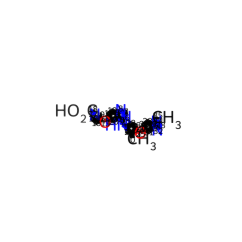 Cc1cc(Nc2ncnc3ccc(O[C@@H]4CCN(C(=O)O)C4)cc23)ccc1Oc1ccc2c(c1)ncn2C